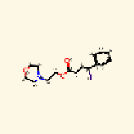 O=C(CCC(I)c1ccccc1)OCCN1CCOCC1